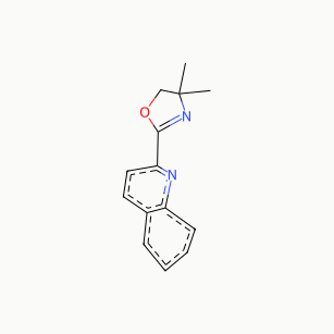 CC1(C)COC(c2ccc3ccccc3n2)=N1